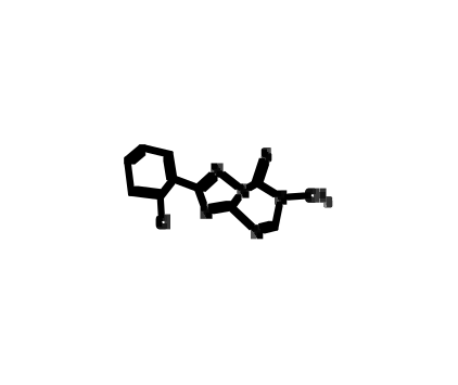 Cn1cnc2nc(-c3ccccc3Cl)nn2c1=S